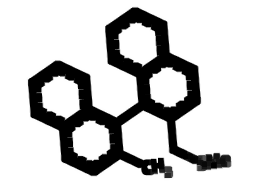 CSCc1ccc2ccccc2c1-c1c(C)ccc2ccccc12